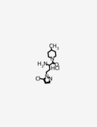 CC1CCN(C(=O)C(N)CCn2nccc2Cl)CC1.Cl